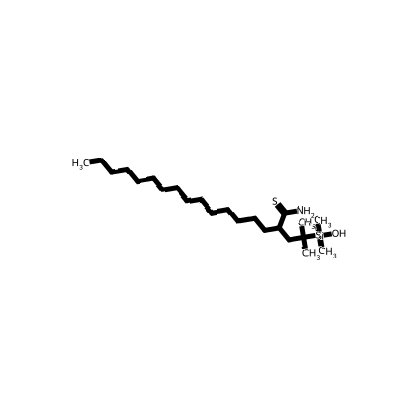 CCCCCCCCCCCCCCCC(CC(C)(C)[Si](C)(C)O)C(N)=S